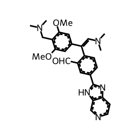 COc1cc(/C(=C/N(C)C)c2ccc(-c3nc4ccncc4[nH]3)cc2C=O)cc(OC)c1CN(C)C